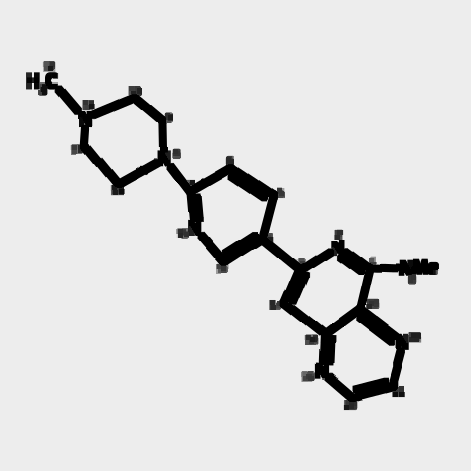 CNc1nc(-c2ccc(N3CCN(C)CC3)nc2)cc2nccnc12